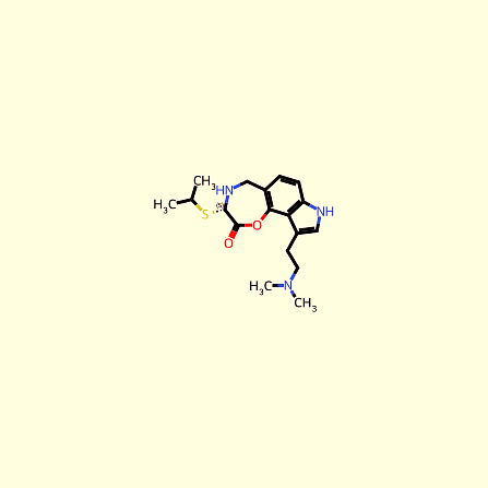 CC(C)S[C@@H]1NCc2ccc3[nH]cc(CCN(C)C)c3c2OC1=O